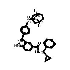 O=CN1[C@@H]2CC[C@H]1C[C@H](Oc1ccc(-c3n[nH]c4ccc(C(=O)N[C@H](c5ccccc5)C5CC5)cc34)cc1)C2